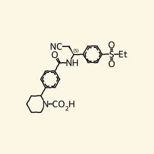 CCS(=O)(=O)c1ccc([C@H](CC#N)NC(=O)c2ccc(C3CCCCN3C(=O)O)cc2)cc1